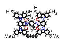 COc1ccc2c(c1)c1cc(OC)ccc1n2-c1ccc(-n2c3ccc(C)cc3c3cc(C)ccc32)c2c1C(=O)N(c1cc(C)c(N3C(=O)c4c(-n5c6ccc(C)cc6c6cc(C)ccc65)ccc(-n5c6ccc(OC)cc6c6cc(OC)ccc65)c4C3=O)cc1C)C2=O